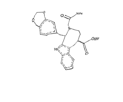 CNC(=O)N1CC(C(=O)OC)c2c([nH]c3ccccc23)C1c1ccc2c(c1)OCO2